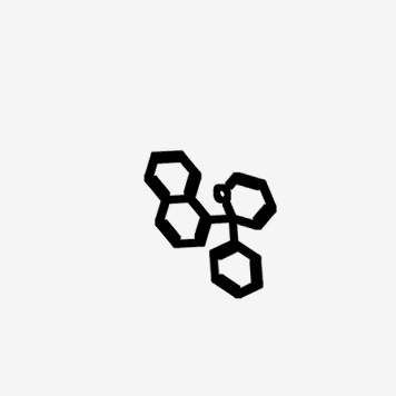 C1=COC(c2ccccc2)(c2cccc3ccccc23)C=C1